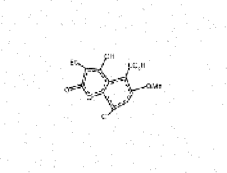 CCc1c(O)c2c(C(=O)O)c(OC)cc(Cl)c2oc1=O